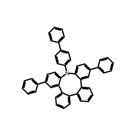 c1ccc(-c2ccc(-n3c4ccc(-c5ccccc5)cc4c4ccccc4c4ccccc4c4cc(-c5ccccc5)ccc43)cc2)cc1